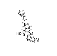 COc1ccc2nccc([C@@H](F)CCC3CCN(CCCCc4cccnn4)CC3CCC(=O)O)c2c1